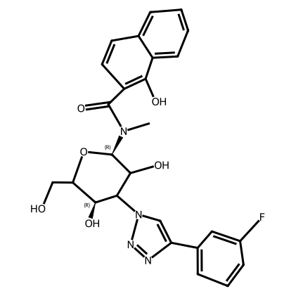 CN(C(=O)c1ccc2ccccc2c1O)[C@@H]1OC(CO)[C@H](O)C(n2cc(-c3cccc(F)c3)nn2)C1O